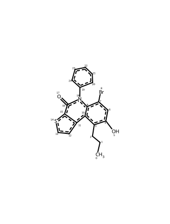 CCCc1c(O)cc(Br)c2c1c1ccsc1c(=O)n2-c1ccccc1